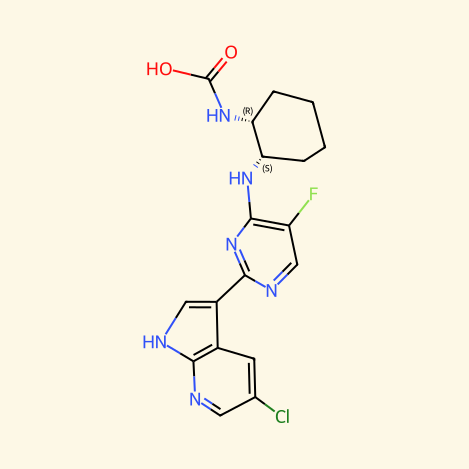 O=C(O)N[C@@H]1CCCC[C@@H]1Nc1nc(-c2c[nH]c3ncc(Cl)cc23)ncc1F